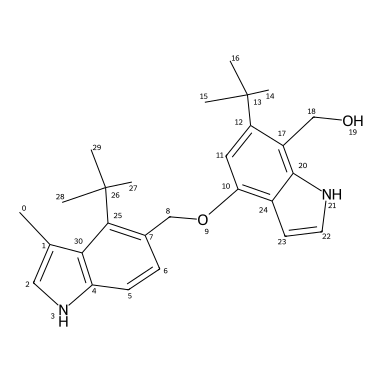 Cc1c[nH]c2ccc(COc3cc(C(C)(C)C)c(CO)c4[nH]ccc34)c(C(C)(C)C)c12